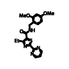 CCc1nc(-c2ncccn2)sc1C(=O)NCc1ccc(OC)cc1OC